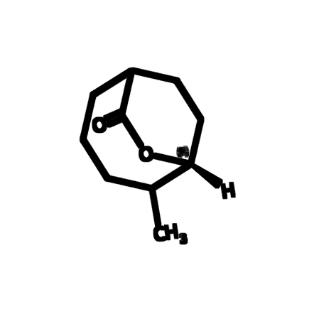 CC1CCCC2CC[C@H]1OC2=O